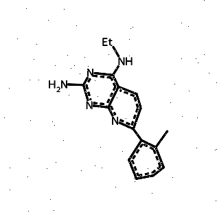 CCNc1nc(N)nc2nc(-c3ccccc3C)ccc12